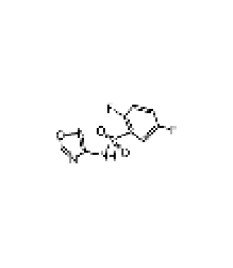 O=S(=O)(Nc1ncon1)c1cc(F)ccc1F